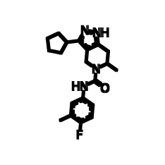 Cc1cc(NC(=O)N2Cc3c(C4CCCC4)n[nH]c3CC2C)ccc1F